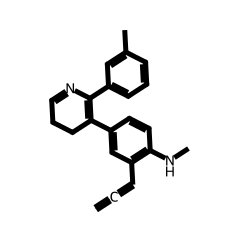 C=C=Cc1cc(C2=C(c3cccc(C)c3)N=CCC2)ccc1NC